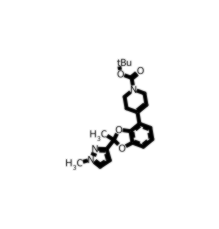 Cn1ccc(C2(C)Oc3cccc(C4=CCN(C(=O)OC(C)(C)C)CC4)c3O2)n1